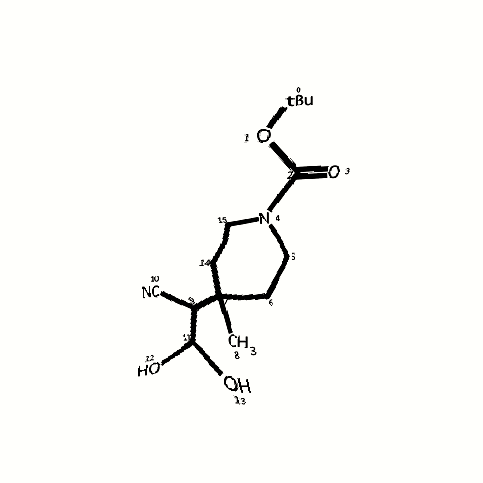 CC(C)(C)OC(=O)N1CCC(C)(C(C#N)C(O)O)CC1